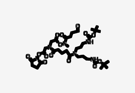 CN(OC(=O)CN(CC(=O)ON1C(=O)CCC1=O)C(=O)CCCC(=O)N(CCCNC(=O)OC(C)(C)C)CCCNC(=O)OC(C)(C)C)C(=O)CCC=O